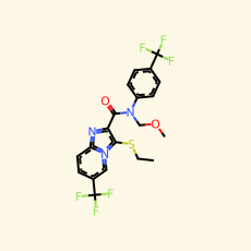 CCSc1c(C(=O)N(COC)c2ccc(C(F)(F)F)cc2)nc2ccc(C(F)(F)F)cn12